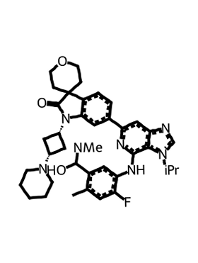 CNC(O)c1cc(Nc2nc(-c3ccc4c(c3)N([C@H]3C[C@@H](N5CCCCC5)C3)C(=O)C43CCOCC3)cc3ncn(C(C)C)c23)c(F)cc1C